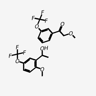 COCC(=O)c1cccc(OC(F)(F)F)c1.COc1ccc(OC(F)(F)F)cc1C(C)O